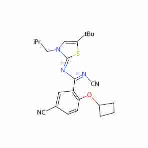 CC(C)Cn1cc(C(C)(C)C)s/c1=N\C(=N\C#N)c1cc(C#N)ccc1OC1CCC1